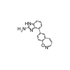 Nc1nc2c(-c3ccc4c(c3)C=CC=NO4)cccc2[nH]1